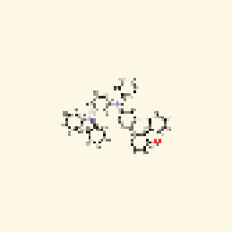 c1ccc(N(c2ccc(-c3cccc4oc5ccccc5c34)cc2)c2cccc(-n3c4ccccc4c4ccccc43)c2)cc1